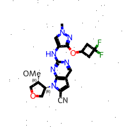 CO[C@H]1COC[C@H]1n1c(C#N)cc2cnc(Nc3cn(C)nc3OC3CC(F)(F)C3)nc21